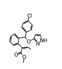 CC=C(C(=O)OC)c1ccccc1C(Oc1cc[nH]n1)c1ccc(Cl)cc1